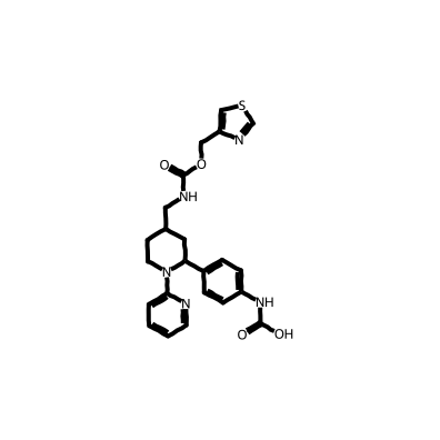 O=C(O)Nc1ccc(C2CC(CNC(=O)OCc3cscn3)CCN2c2ccccn2)cc1